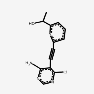 CC(O)c1cccc(C#Cc2c(N)ncnc2Cl)n1